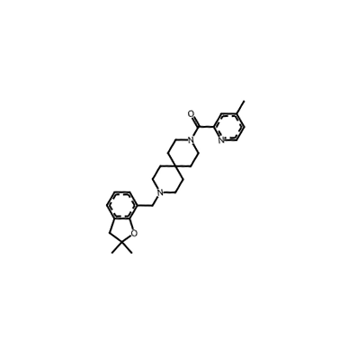 Cc1ccnc(C(=O)N2CCC3(CCN(Cc4cccc5c4OC(C)(C)C5)CC3)CC2)c1